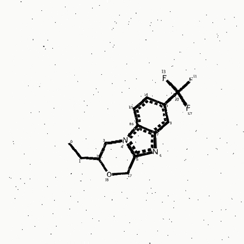 CCC1Cn2c(nc3cc(C(F)(F)F)ccc32)CO1